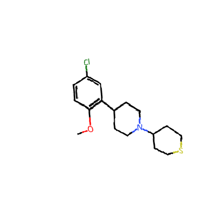 COc1ccc(Cl)cc1C1CCN(C2CCSCC2)CC1